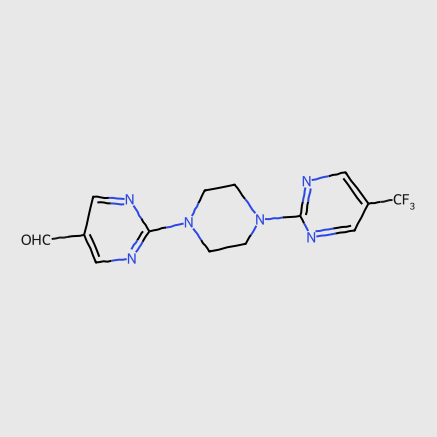 O=Cc1cnc(N2CCN(c3ncc(C(F)(F)F)cn3)CC2)nc1